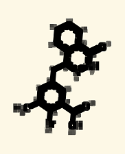 Cc1cc(Cc2n[nH]c(=O)c3ccccc23)cc(C(=O)O)c1Br